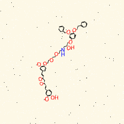 COc1cc(/C=C/C(=O)CC(=O)/C=C/c2ccc(OCCOCCOCCNCC(O)COc3ccc(OCCc4ccccc4)c(OCc4ccccc4)c3)c(OC)c2)ccc1O